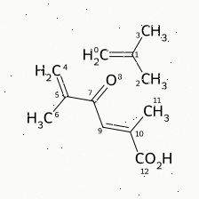 C=C(C)C.C=C(C)C(=O)C=C(C)C(=O)O